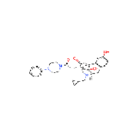 O=C1C[C@]23CCN(CC4CC4)[C@H](Cc4ccc(O)cc42)[C@]3(O)C[C@@H]1CC(=O)N1CCN(c2ccccc2)CC1